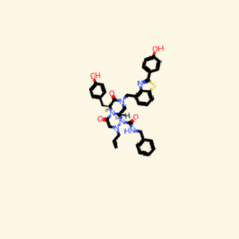 C=CCN1CC(=O)N2[C@@H](Cc3ccc(O)cc3)C(=O)N(Cc3cccc4sc(-c5ccc(O)cc5)nc34)C[C@@H]2N1C(=O)NCc1ccccc1